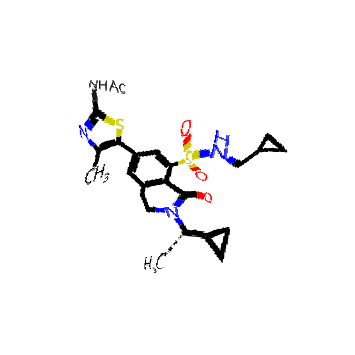 CC(=O)Nc1nc(C)c(-c2cc3c(c(S(=O)(=O)NCC4CC4)c2)C(=O)N([C@@H](C)C2CC2)C3)s1